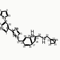 c1ccn(-c2cncc(-c3ncn(Cc4ccc5cc(CNCC67CC(C6)C7)[nH]c5c4)n3)c2)c1